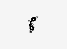 O=C(c1ccc(Br)cc1)c1cc2cc(Br)ccc2o1